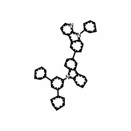 c1ccc(-c2cc(-c3ccccc3)cc(-n3c4ccccc4c4cc(-c5ccc6c(c5)c5cccnc5n6-c5ccccc5)ccc43)c2)cc1